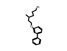 CC(C)CCCC(C)CCOc1cccc(-c2ccccc2)c1